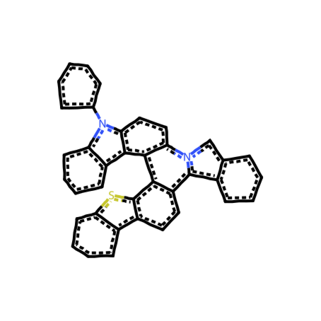 c1ccc(-n2c3ccccc3c3c4c5c(ccc6c7ccccc7sc65)c5c6ccccc6cn5c4ccc32)cc1